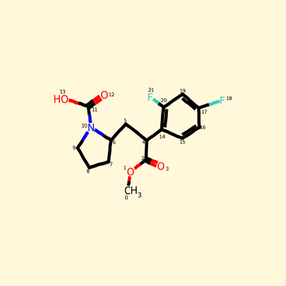 COC(=O)C(CC1CCCN1C(=O)O)c1ccc(F)cc1F